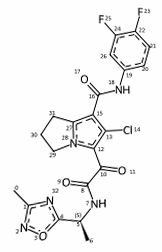 Cc1noc([C@H](C)NC(=O)C(=O)c2c(Cl)c(C(=O)Nc3ccc(F)c(F)c3)c3n2CCC3)n1